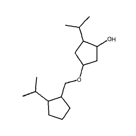 CC(C)C1CC(OCC2CCCC2C(C)C)CC1O